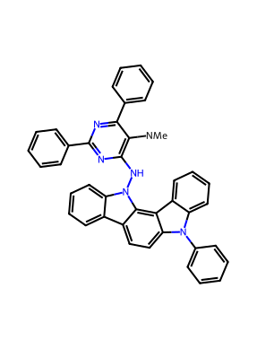 CNc1c(Nn2c3ccccc3c3ccc4c(c5ccccc5n4-c4ccccc4)c32)nc(-c2ccccc2)nc1-c1ccccc1